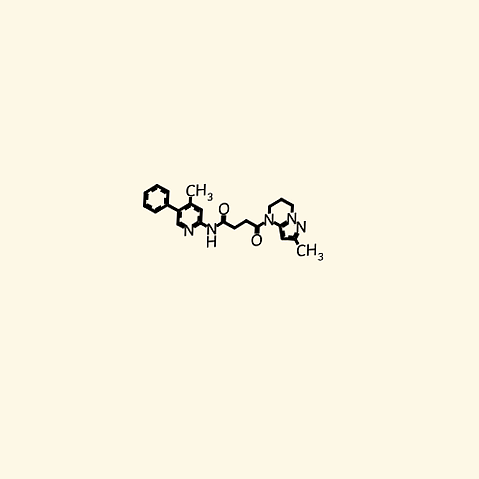 Cc1cc2n(n1)CCCN2C(=O)CCC(=O)Nc1cc(C)c(-c2ccccc2)cn1